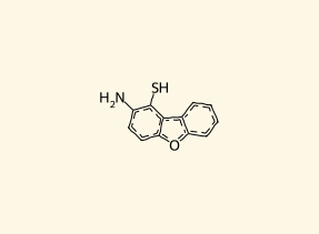 Nc1ccc2oc3ccccc3c2c1S